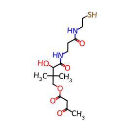 CC(=O)CC(=O)OCC(C)(C)C(O)C(=O)NCCC(=O)NCCS